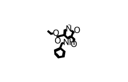 CCOC(=O)c1cn(C)c(=O)c(C=O)c1NCc1ccccc1